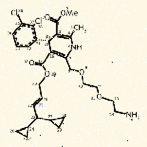 COC(=O)C1=C(C)NC(COCCOCCN)=C(C(=O)OC/C=C/C(C2CC2)C2CC2)[C@@H]1c1cccc(Cl)c1Cl